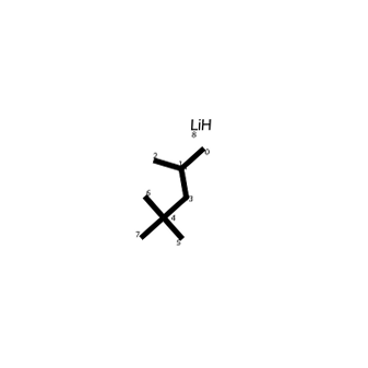 C[C](C)CC(C)(C)C.[LiH]